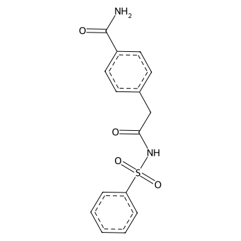 NC(=O)c1ccc(CC(=O)NS(=O)(=O)c2ccccc2)cc1